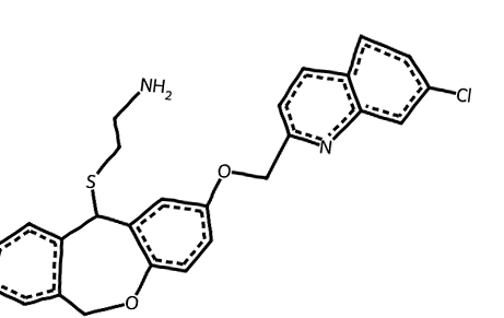 NCCSC1c2ccccc2COc2ccc(OCc3ccc4ccc(Cl)cc4n3)cc21